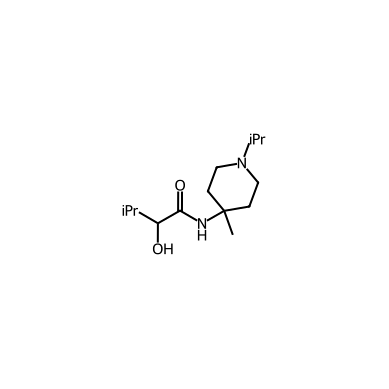 CC(C)C(O)C(=O)NC1(C)CCN(C(C)C)CC1